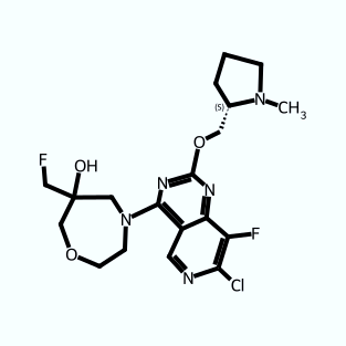 CN1CCC[C@H]1COc1nc(N2CCOCC(O)(CF)C2)c2cnc(Cl)c(F)c2n1